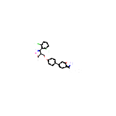 CCOC(=O)c1noc2cc(-c3ccc(OCC4C(c5c(Cl)cccc5Cl)=NOC4C(C)C)cc3)ccc12